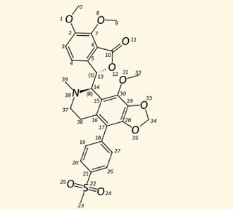 COc1ccc2c(c1OC)C(=O)O[C@@H]2[C@H]1c2c(c(-c3ccc(S(C)(=O)=O)cc3)c3c(c2OC)OCO3)CCN1C